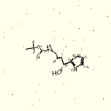 CC(C)(C)OC(=O)NCC[C@@H](O)c1nccs1